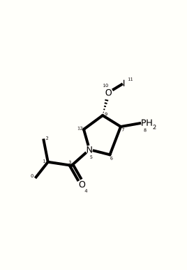 CC(C)C(=O)N1CC(P)[C@@H](OI)C1